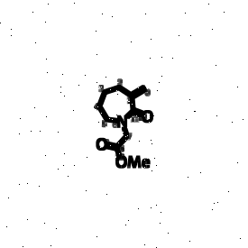 C=C1CCCCN(CC(=O)OC)C1=O